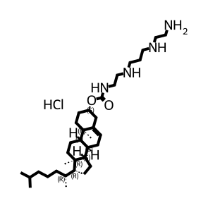 CC(C)CCC[C@@H](C)[C@H]1CC[C@H]2[C@@H]3CC=C4C[C@@H](OC(=O)NCCNCCCNCCN)CC[C@]4(C)[C@H]3CC[C@]12C.Cl